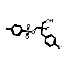 Cc1ccc(S(=O)(=O)OCC(F)(CO)Cc2ccc(Br)cc2)cc1